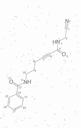 N#CCNC(=O)C#CCCCNC(=O)c1ccccc1